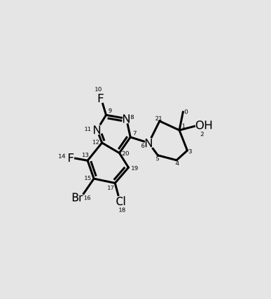 CC1(O)CCCN(c2nc(F)nc3c(F)c(Br)c(Cl)cc23)C1